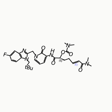 CN(C)C(=O)/C=C/CC[C@H](OC(=O)N(C)C)C(=O)Nc1cccn(Cc2nc3cc(F)ccc3n2CC(C)(C)C)c1=O